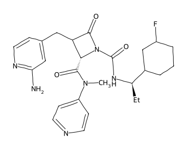 CC[C@@H](NC(=O)N1C(=O)C(Cc2ccnc(N)c2)[C@H]1C(=O)N(C)c1ccncc1)C1CCCC(F)C1